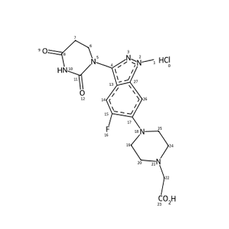 Cl.Cn1nc(N2CCC(=O)NC2=O)c2cc(F)c(N3CCN(CC(=O)O)CC3)cc21